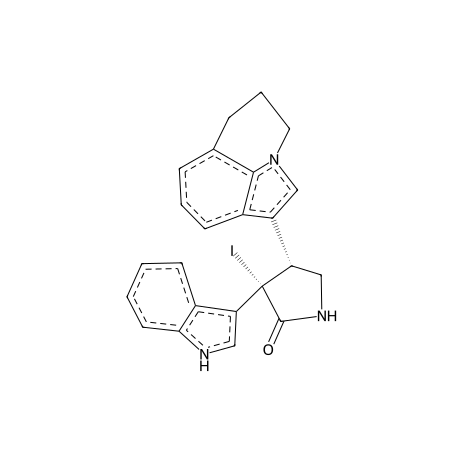 O=C1NC[C@@H](c2cn3c4c(cccc24)CCC3)[C@]1(I)c1c[nH]c2ccccc12